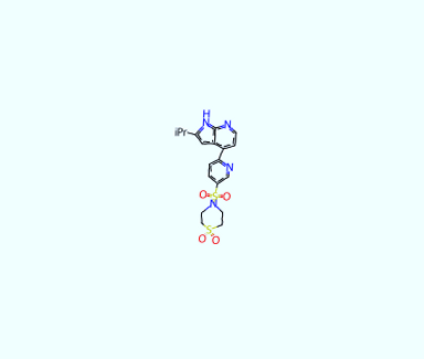 CC(C)c1cc2c(-c3ccc(S(=O)(=O)N4CCS(=O)(=O)CC4)cn3)ccnc2[nH]1